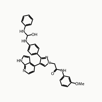 COc1cccc(NC(=O)Cn2cc(-c3ccnc4[nH]ccc34)c(-c3ccc(NC(O)Nc4ccccc4)cc3)n2)c1